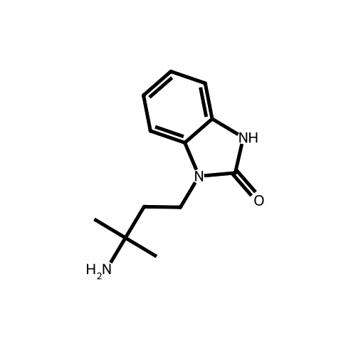 CC(C)(N)CCn1c(=O)[nH]c2ccccc21